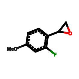 COc1ccc(C2CO2)c(F)c1